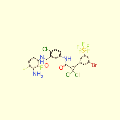 Nc1c(F)ccc(NC(=O)c2cc(NC(=O)C3C(c4cc(Br)cc(S(F)(F)(F)(F)F)c4)C3(Cl)Cl)ccc2Cl)c1F